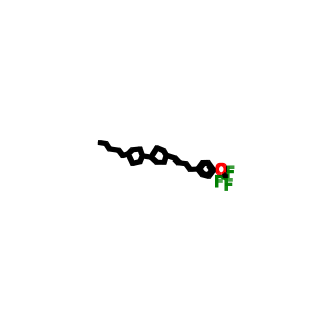 CCCCCC1CCC(C2CCC(C=CCCc3ccc(OC(F)(F)F)cc3)CC2)CC1